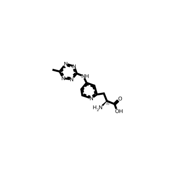 Cc1nnc(Nc2ccnc(C[C@H](N)C(=O)O)c2)nn1